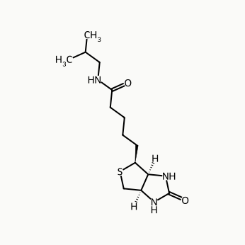 CC(C)CNC(=O)CCCC[C@@H]1SC[C@@H]2NC(=O)N[C@@H]21